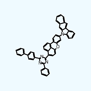 c1ccc(-c2ccc(-c3nc(-c4ccccc4)nc(-c4ccc5c6c(cccc46)-c4ccc(-n6c7ccccc7c7cc8ccccc8cc76)cc4O5)n3)cc2)cc1